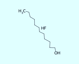 CCCCCCCCCCCCO.F